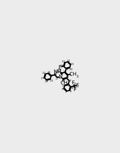 Cc1c(Cc2ccccc2C(F)(F)F)c(C)n(CC(N)c2ccccc2)c(=O)c1-c1ccccc1F